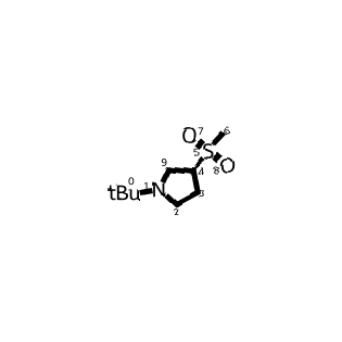 CC(C)(C)N1CC[C@H](S(C)(=O)=O)C1